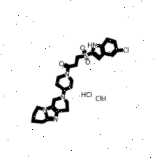 Cl.Cl.O=C(CCS(=O)(=O)c1cc2cc(Cl)ccc2[nH]1)N1CCC(N2CCc3nc4n(c3C2)CCCC4)CC1